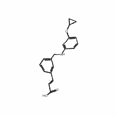 O=C(O)/C=C/c1cccc(CNc2cccc(OC3CC3)c2)c1